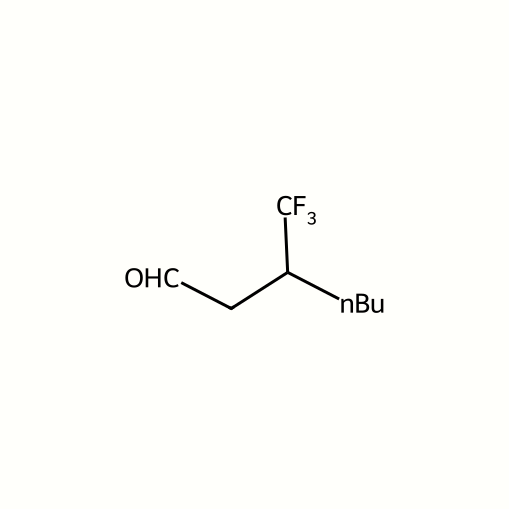 CCCCC(CC=O)C(F)(F)F